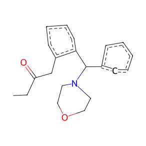 CCC(=O)Cc1ccccc1C(c1ccccc1)N1CCOCC1